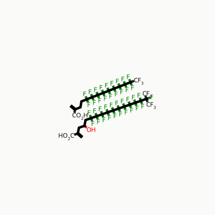 C=C(CC(O)CC(F)(F)C(F)(F)C(F)(F)C(F)(F)C(F)(F)C(F)(F)C(F)(F)C(F)(F)C(F)(F)C(F)(F)C(F)(C(F)(F)F)C(F)(F)F)C(=O)O.C=C(CCC(F)(F)C(F)(F)C(F)(F)C(F)(F)C(F)(F)C(F)(F)C(F)(F)C(F)(F)C(F)(F)C(F)(F)F)C(=O)O